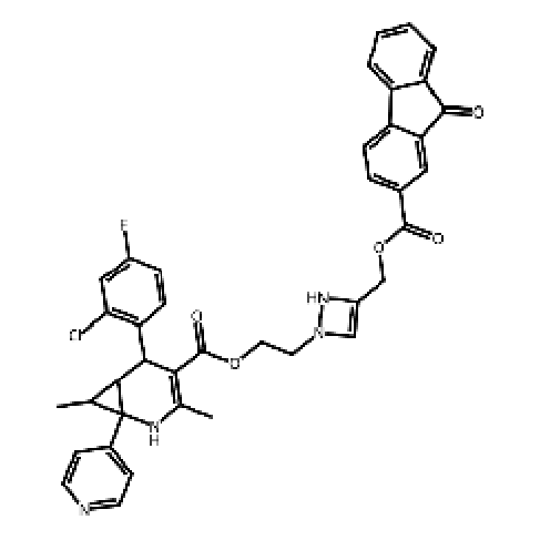 CC1=C(C(=O)OCCn2cc(COC(=O)c3ccc4c(c3)C(=O)c3ccccc3-4)[nH]2)C(c2ccc(F)cc2Cl)C2C(C)C2(c2ccncc2)N1